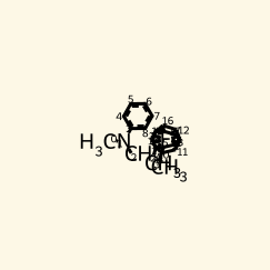 CN(C)c1ccccc1.C[C]12[CH]3[CH]4[CH]5[CH]1[Fe]45321678[CH]2[CH]1[CH]6[C]7(C)[CH]28